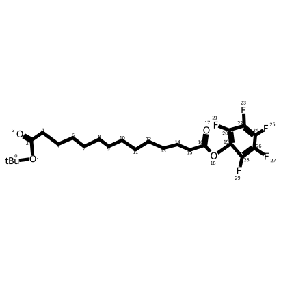 CC(C)(C)OC(=O)CCCCCCCCCCCCC(=O)Oc1c(F)c(F)c(F)c(F)c1F